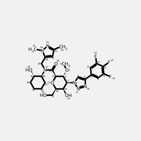 CO[C@@H]1[C@@H](n2cc(-c3cc(F)c(F)c(F)c3)nn2)[C@@H](O)[C@@H](CO)O[C@H]1C(=O)N(Cc1cc(C)nn1C)[C@H]1CCCC[C@@H]1O